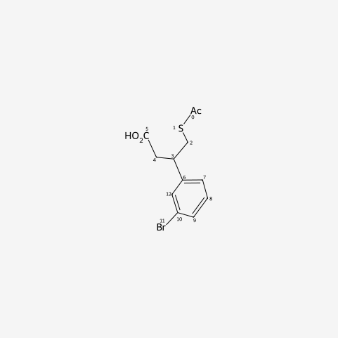 CC(=O)SCC(CC(=O)O)c1cccc(Br)c1